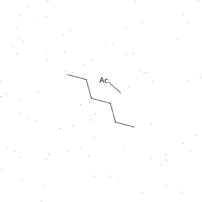 CC(C)=O.CCCCCC